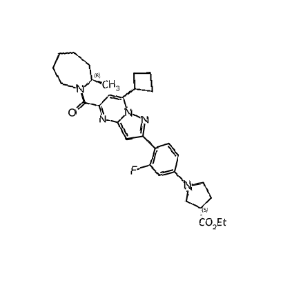 CCOC(=O)[C@H]1CCN(c2ccc(-c3cc4nc(C(=O)N5CCCCC[C@H]5C)cc(C5CCC5)n4n3)c(F)c2)C1